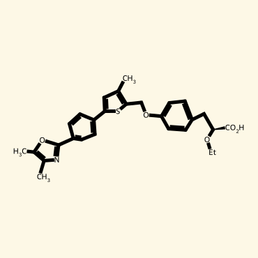 CCO[C@@H](Cc1ccc(OCc2sc(-c3ccc(-c4nc(C)c(C)o4)cc3)cc2C)cc1)C(=O)O